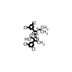 Cc1nn(-c2nc(-c3cc(Cl)cc(Cl)c3)c(SC(C)C)s2)c(C(=O)O)c1-c1cc(Cl)cc(Cl)c1